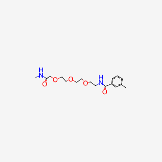 CNC(=O)COCCOCCOCCNC(=O)c1cccc(C)c1